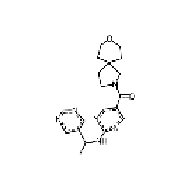 CC(Nc1ncc(C(=O)N2CCC3(CCOCC3)C2)cn1)c1cncnc1